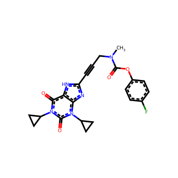 CN(CC#Cc1nc2c([nH]1)c(=O)n(C1CC1)c(=O)n2C1CC1)C(=O)Oc1ccc(F)cc1